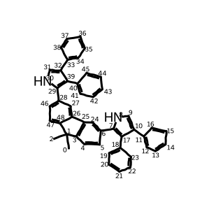 CC1(C)c2ccc(-c3[nH]cc(-c4ccccc4)c3-c3ccccc3)cc2-c2cc(-c3[nH]cc(-c4ccccc4)c3-c3ccccc3)ccc21